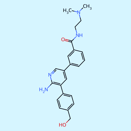 CN(C)CCNC(=O)c1cccc(-c2cnc(N)c(-c3ccc(CO)cc3)c2)c1